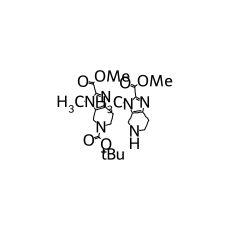 COC(=O)c1nc2c(n1C)CN(C(=O)OC(C)(C)C)CC2.COC(=O)c1nc2c(n1C)CNCC2